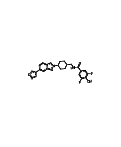 O=C(NCC1CCC(n2cc3ccc(-c4cnoc4)cc3n2)CC1)c1cc(F)c(O)c(F)c1